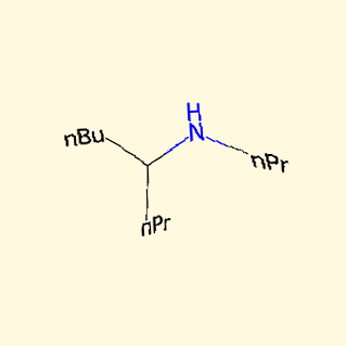 CCCCC(CCC)NCCC